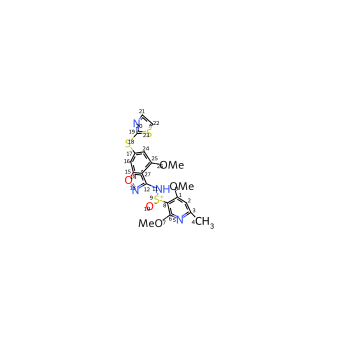 COc1cc(C)nc(OC)c1[S+]([O-])Nc1noc2cc(Sc3nccs3)cc(OC)c12